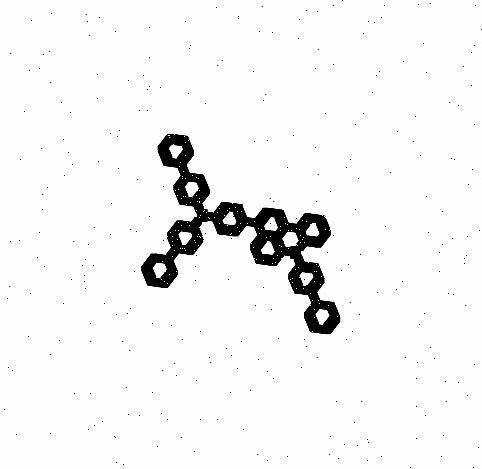 C1=CCC(c2ccc(N(C3=CCC(c4ccccc4)C=C3)c3ccc(-c4ccc(-c5ccccc5N(c5ccccc5)c5ccc(C6C=CC=CC6)cc5)cc4)cc3)cc2)C=C1